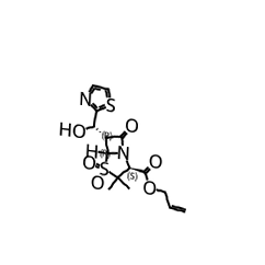 C=CCOC(=O)[C@@H]1N2C(=O)[C@@H](C(O)c3nccs3)[C@H]2S(=O)(=O)C1(C)C